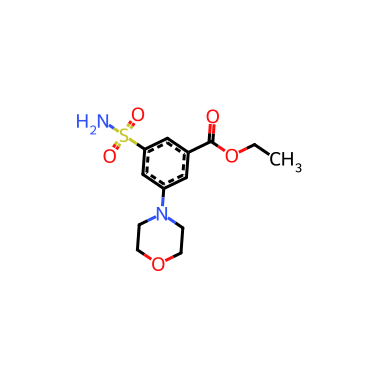 CCOC(=O)c1cc(N2CCOCC2)cc(S(N)(=O)=O)c1